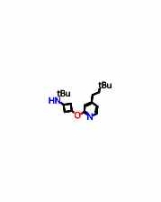 CC(C)(C)CCc1ccnc(OC2CC(NC(C)(C)C)C2)c1